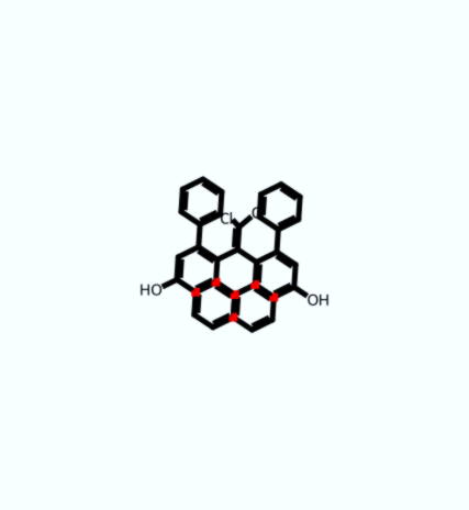 Oc1cc(-c2ccccc2)c(C(=C(Cl)Cl)c2c(-c3ccccc3)cc(O)cc2-c2ccccc2)c(-c2ccccc2)c1